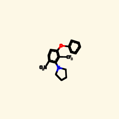 O=[N+]([O-])c1ccc(Oc2ccccc2)c(C(F)(F)F)c1N1CCCC1